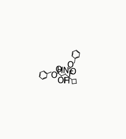 O=C(NC(C(O)C(=O)OCc1ccccc1)C(F)(F)C1CCC1)OCc1ccccc1